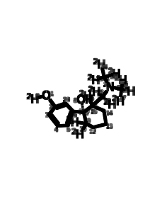 [2H]Oc1cccc([C@]2(O)C([2H])([2H])CCC[C@@]2([2H])C([2H])([2H])N(C([2H])([2H])[2H])C([2H])([2H])[2H])c1